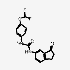 O=C(Nc1ccc(OC(F)F)cc1)Nc1ccc2c(c1)C(=O)CC2